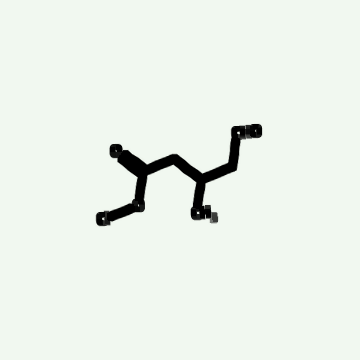 CC(CC=O)CC(=O)OCl